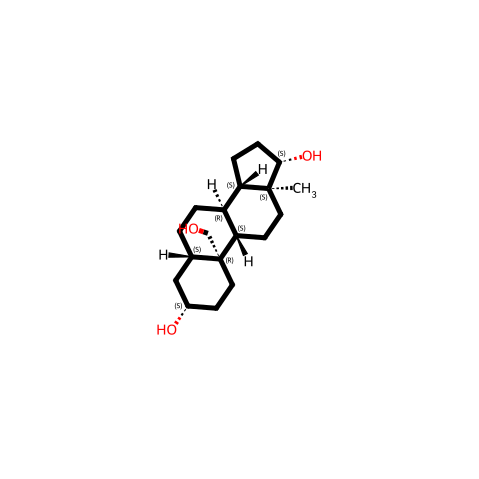 C[C@]12CC[C@H]3[C@@H](CC[C@H]4C[C@@H](O)CC[C@@]43CO)[C@@H]1CC[C@@H]2O